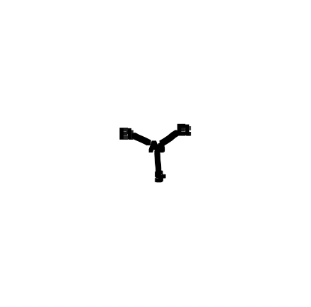 CC[As]([S])CC